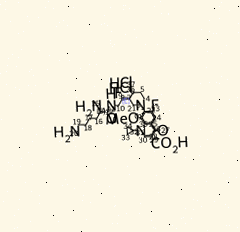 COc1c(N2CCC/C(=C(\F)CNC(=O)[C@@H](N)CCCCN)C2)c(F)cc2c(=O)c(C(=O)O)cn(C3CC3)c12.Cl.Cl